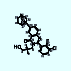 CC(C)(CO)Cn1c(-c2cccc(Cl)c2F)nc2ccc(N3CCN4CCC3CC4)cc2c1=O